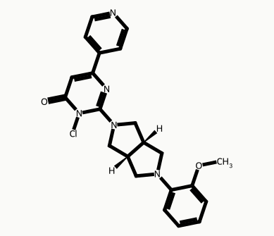 COc1ccccc1N1C[C@@H]2CN(c3nc(-c4ccncc4)cc(=O)n3Cl)C[C@@H]2C1